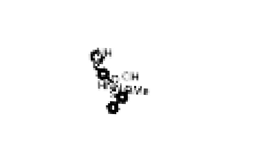 COc1ccc(-c2ccccc2)c2sc(NC(=O)c3ccc(CN4CCCNCC4)cc3)nc12.Cl